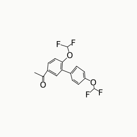 CC(=O)c1ccc(OC(F)F)c(-c2ccc(OC(F)F)cc2)c1